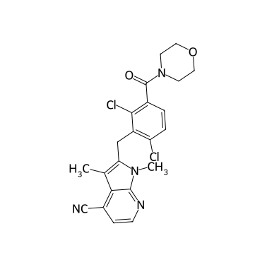 Cc1c(Cc2c(Cl)ccc(C(=O)N3CCOCC3)c2Cl)n(C)c2nccc(C#N)c12